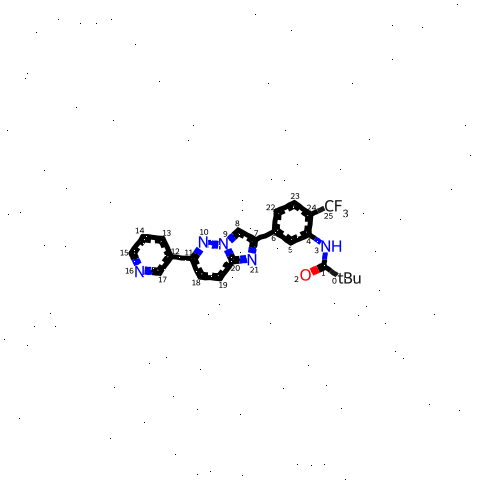 CC(C)(C)C(=O)Nc1cc(-c2cn3nc(-c4cccnc4)ccc3n2)ccc1C(F)(F)F